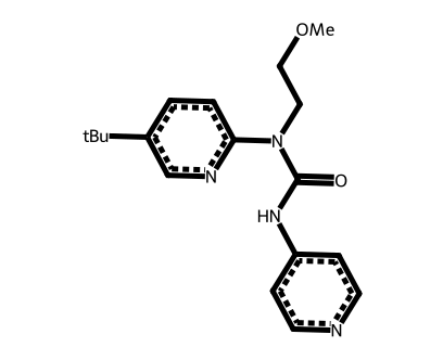 COCCN(C(=O)Nc1ccncc1)c1ccc(C(C)(C)C)cn1